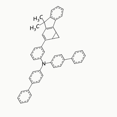 CC1(C)C2=C(c3ccccc31)C1CC1C(c1cccc(N(c3ccc(-c4ccccc4)cc3)c3ccc(-c4ccccc4)cc3)c1)=C2